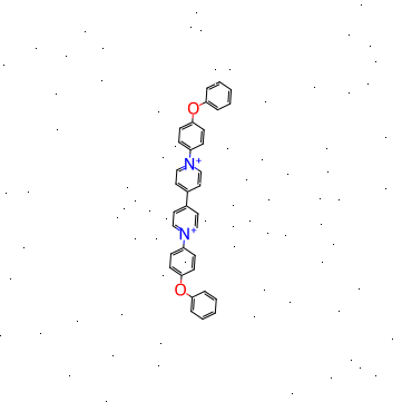 c1ccc(Oc2ccc(-[n+]3ccc(-c4cc[n+](-c5ccc(Oc6ccccc6)cc5)cc4)cc3)cc2)cc1